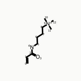 C=CC(=O)[N-]CCCC[N+](C)(C)C